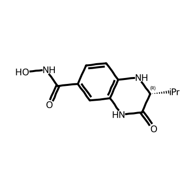 CC(C)[C@H]1Nc2ccc(C(=O)NO)cc2NC1=O